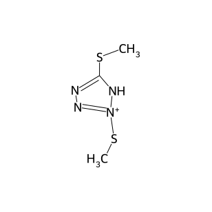 CSc1nn[n+](SC)[nH]1